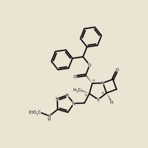 CCOC(=O)Nc1cn(C[C@]2(C)S[C@@H]3CC(=O)N3[C@H]2C(=O)OC(c2ccccc2)c2ccccc2)nn1